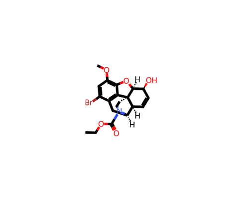 CCOC(=O)N1CC[C@]23c4c5c(Br)cc(OC)c4O[C@H]2[C@@H](O)C=C[C@H]3[C@H]1C5